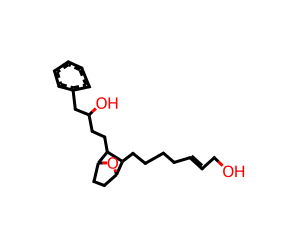 OCC=CCCCCC1C2CCC(O2)C1CCC(O)Cc1ccccc1